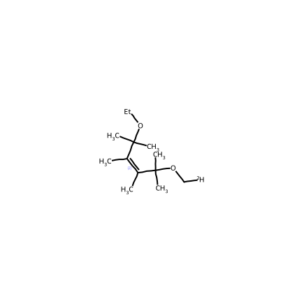 [2H]COC(C)(C)/C(C)=C(/C)C(C)(C)OCC